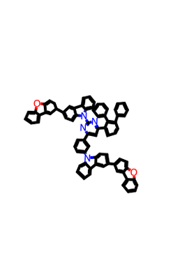 C1=c2oc3ccccc3c2=CC(c2ccc3c(c2)c2ccccc2n3-c2nc(-c3cccc(-n4c5ccccc5c5cc(-c6ccc7oc8ccccc8c7c6)ccc54)c3)cc(-c3cccc(-c4ccccc4)c3-c3ccccc3)n2)C1